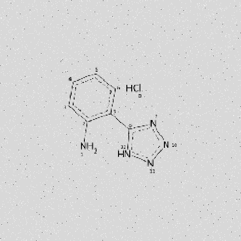 Cl.Nc1ccccc1-c1nnn[nH]1